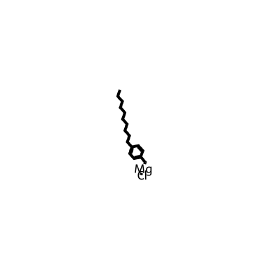 CCCCCCCCCCc1ccc([CH2][Mg][Cl])cc1